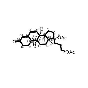 CC(=O)OCCC[C@]1(OC(C)=O)CC[C@H]2[C@@H]3C=CC4=CC(=O)CC[C@]4(C)[C@H]3CC[C@@]21C